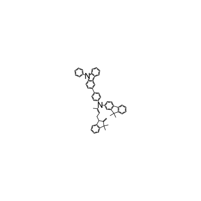 C=C1C(C/C=C(\C)N(c2ccc(-c3ccc4c(c3)c3ccccc3n4-c3ccccc3)cc2)c2ccc3c(c2)C(C)(C)c2ccccc2-3)c2ccccc2C1(C)C